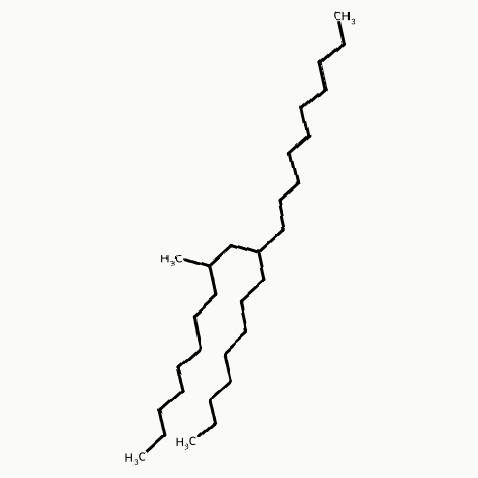 CCCCCCCCCCC(CCCCCCCC)CC(C)CCCCCCCC